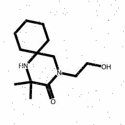 CC1(C)NC2(CCCCC2)CN(CCO)C1=O